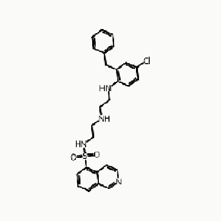 O=S(=O)(NCCNCCNc1ccc(Cl)cc1Cc1ccccc1)c1cccc2cnccc12